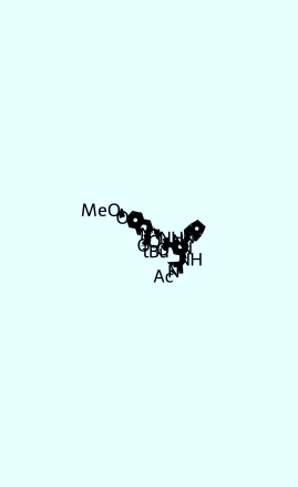 COCOc1ccc2c(c1)CN(C(=O)OC(C)(C)C)[C@H](CCNC(=O)c1cc(NC3CN(C(C)=O)C3)nc(N3CC4CCC(C4)C3)n1)C2